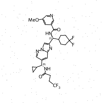 COc1cncc(C(=O)N[C@H](c2cn3ncc([C@H](NC(=O)CCC(F)(F)F)C4CC4)cc3n2)C2CCC(F)(F)CC2)c1